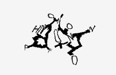 CN(C(=O)c1cc2c(F)cc(F)cc2[nH]1)C(OC(C)(C)C)C(=O)N1CC(C=O)CC1C#N